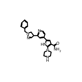 NC(=O)c1cc(-c2ccnc(C3C=NN(Cc4ccccc4)C3)c2)[nH]c1N1CCNCC1